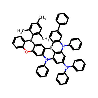 Cc1cc(C)c(B2c3ccccc3Oc3cc4c(cc32)B2c3ccc(-c5ccccc5)cc3N(c3ccccc3)c3cc(N(c5ccccc5)c5ccccc5)cc(c32)N4c2ccccc2)c(C)c1